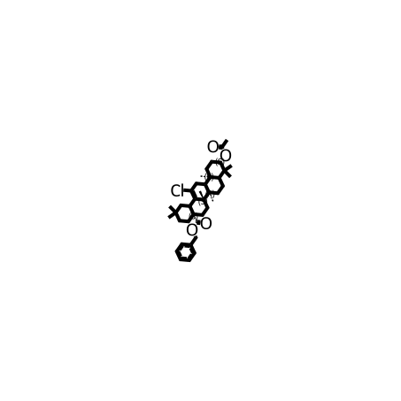 CC(=O)O[C@H]1CC[C@@]2(C)C(CC[C@]3(C)C2CC(Cl)=C2C4CC(C)(C)CC[C@]4(C(=O)OCc4ccccc4)CC[C@]23C)C1(C)C